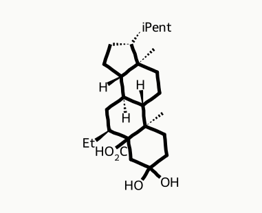 CCC[C@@H](C)[C@H]1CC[C@H]2[C@@H]3C[C@H](CC)C4(C(=O)O)CC(O)(O)CC[C@]4(C)[C@H]3CC[C@]12C